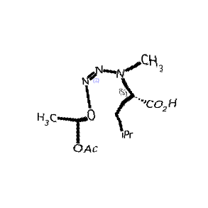 CC(=O)OC(C)O/N=N\N(C)[C@@H](CC(C)C)C(=O)O